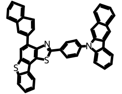 c1ccc2cc(-c3cc4sc5ccccc5c4c4sc(-c5ccc(-n6c7ccccc7c7cc8ccccc8cc76)cc5)nc34)ccc2c1